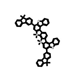 CC1(C)c2ccccc2-c2cc(-c3cc4c(c5c3oc3ccccc35)-c3ccc5c(c3[Si]4(C)C)[Si](C)(C)c3cc(-c4ccc6c(c4)-c4ccccc4C6(C)C)c4oc6ccccc6c4c3-5)ccc21